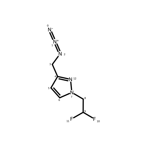 [N-]=[N+]=NCc1ccn(CC(F)F)n1